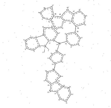 CC1(C)c2ccccc2-c2cccc(N(c3ccc(-c4ccc5sc6ccccc6c5c4)cc3)c3cccc(-c4cccc5oc6c7ccccc7ccc6c45)c3)c21